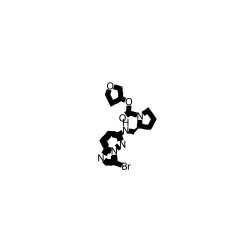 O=C(OC1CCOC1)N1CCC[C@H]1CNc1ccc2ncc(Br)n2n1